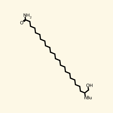 CCCCC(CO)CCCCCCCCCCCCCCCCCCCCCCC(N)=O